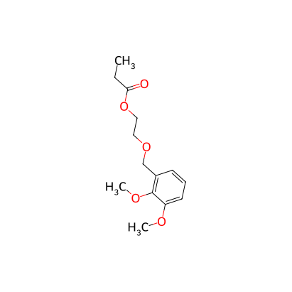 CCC(=O)OCCOCc1cccc(OC)c1OC